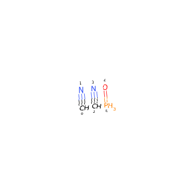 C#N.C#N.O=[PH3]